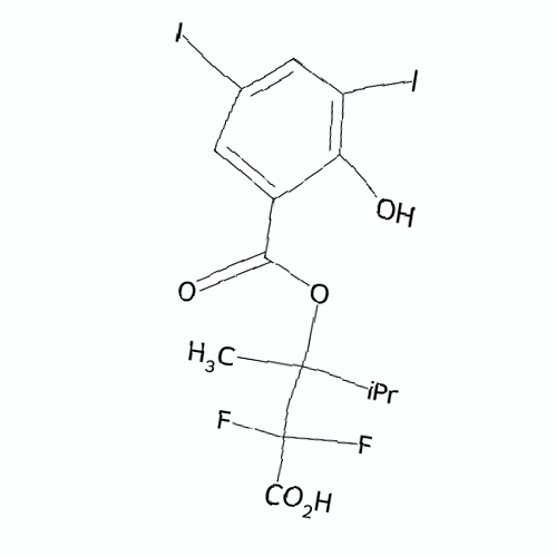 CC(C)C(C)(OC(=O)c1cc(I)cc(I)c1O)C(F)(F)C(=O)O